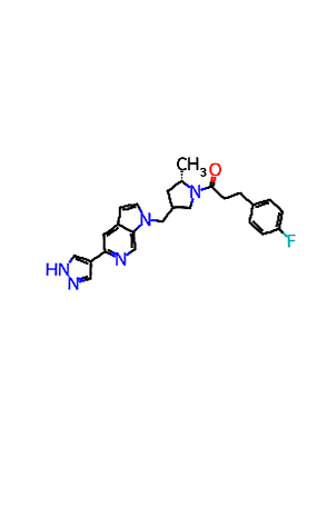 C[C@H]1CC(Cn2ccc3cc(-c4cn[nH]c4)ncc32)CN1C(=O)CCc1ccc(F)cc1